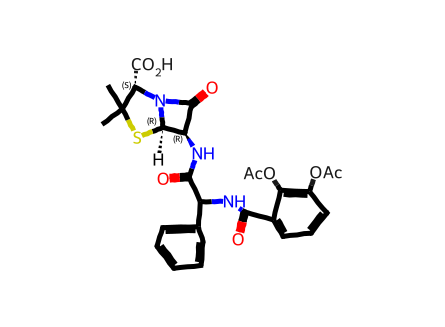 CC(=O)Oc1cccc(C(=O)NC(C(=O)N[C@@H]2C(=O)N3[C@@H]2SC(C)(C)[C@@H]3C(=O)O)c2ccccc2)c1OC(C)=O